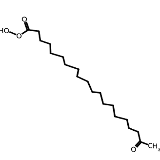 CC(=O)CCCCCCCCCCCCCCCCCC(=O)OO